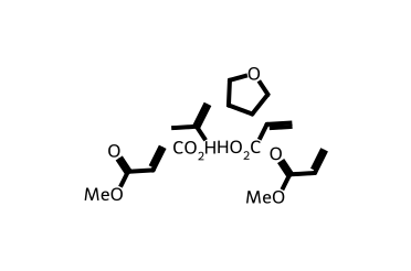 C1CCOC1.C=C(C)C(=O)O.C=CC(=O)O.C=CC(=O)OC.C=CC(=O)OC